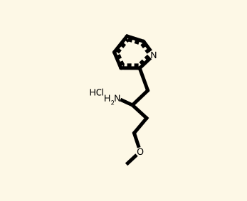 COCCC(N)Cc1ccccn1.Cl